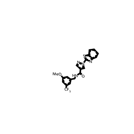 COc1cc(CNC(=O)c2cnn(-c3nc4ccccc4s3)c2)cc(C(F)(F)F)c1